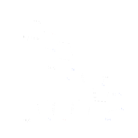 C=C(CN1CCCC(n2cc(-c3c4c5c(ncnc5n3C)NCc3cc(Oc5cccc(C)n5)ccc3-4)cn2)C1C)C(C)=O